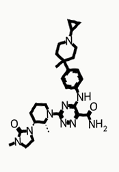 C[C@@H]1[C@H](N2CCN(C)C2=O)CCCN1c1nnc(C(N)=O)c(Nc2ccc(C3(C)CCN(C4CC4)CC3)cc2)n1